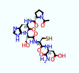 CC(=O)N1CCC[C@H]1C(=O)N[C@@H](Cc1c[nH]cn1)C(=O)N[C@@H](CO)C(=O)N[C@@H](CS)C(=O)N[C@@H](CC(=O)O)C(N)=O